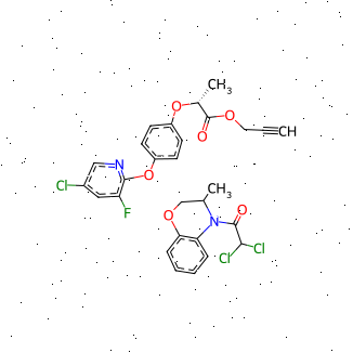 C#CCOC(=O)[C@@H](C)Oc1ccc(Oc2ncc(Cl)cc2F)cc1.CC1COc2ccccc2N1C(=O)C(Cl)Cl